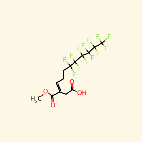 COC(=O)C(=CCCC(F)(F)C(F)(F)C(F)(F)C(F)(F)C(F)(F)C(F)(F)F)CC(=O)O